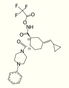 O=C(NOC(=O)C(F)(F)F)[C@H]1CC(=CC2CC2)CC[C@@H]1C(=O)N1CCN(c2ccccc2)CC1